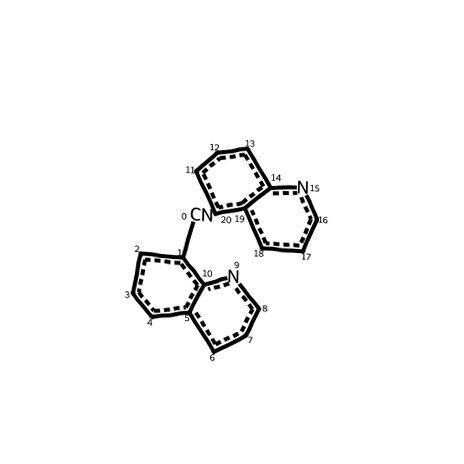 N#Cc1cccc2cccnc12.c1ccc2ncccc2c1